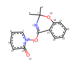 CC1(C)N=C(On2ccccc2=O)c2ccccc2O1